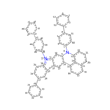 c1ccc(-c2ccc(N3c4cc5c(cc4-c4cccc6cccc3c46)c3cc(-c4ccccc4)ccc3n5-c3ccc(-c4ccccc4)cc3)cc2)cc1